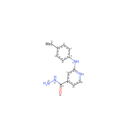 CSc1ccc(Nc2cc(C(=O)NN)ccn2)cc1